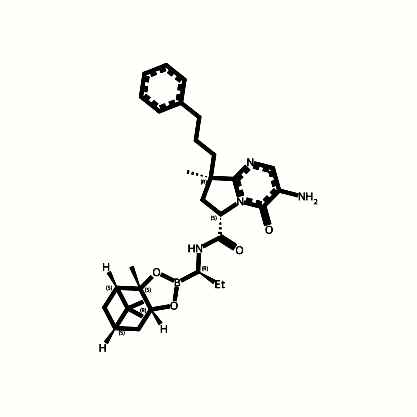 CC[C@H](NC(=O)[C@@H]1C[C@@](C)(CCCc2ccccc2)c2ncc(N)c(=O)n21)B1O[C@@H]2C[C@@H]3C[C@@H](C3(C)C)[C@]2(C)O1